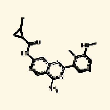 CNc1cncc(-c2cc3cc(NC(=O)C4CC4F)ncc3c(N)n2)c1C